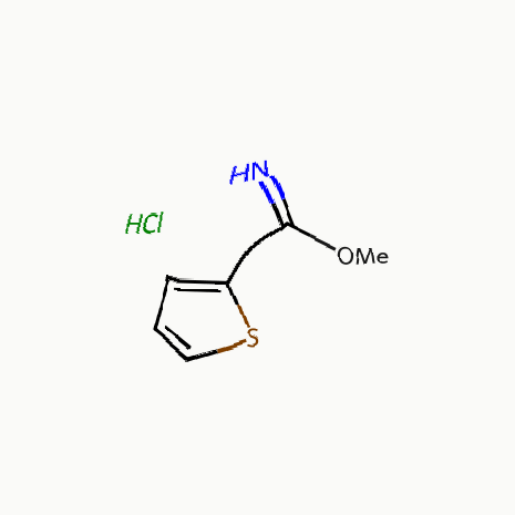 COC(=N)c1cccs1.Cl